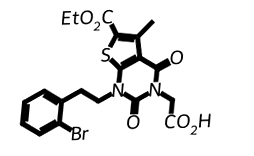 CCOC(=O)c1sc2c(c1C)c(=O)n(CC(=O)O)c(=O)n2CCc1ccccc1Br